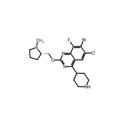 CN1CCC[C@H]1COc1nc(C2CCNCC2)c2cc(Cl)c(Br)c(F)c2n1